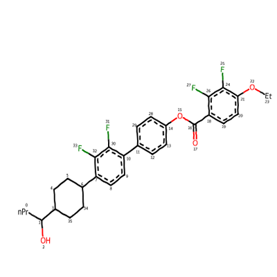 CCCC(O)C1CCC(c2ccc(-c3ccc(OC(=O)c4ccc(OCC)c(F)c4F)cc3)c(F)c2F)CC1